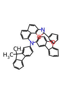 CC1(C)c2ccccc2-c2ccc(N(c3ccc4oc5ccccc5c4c3)c3cccc4ccc5nc(-c6ccccc6)oc5c34)cc21